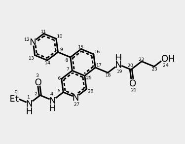 CCNC(=O)Nc1cc2c(-c3ccncc3)ccc(CNC(=O)CCO)c2cn1